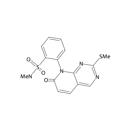 CNS(=O)(=O)c1ccccc1-n1c(=O)ccc2cnc(SC)nc21